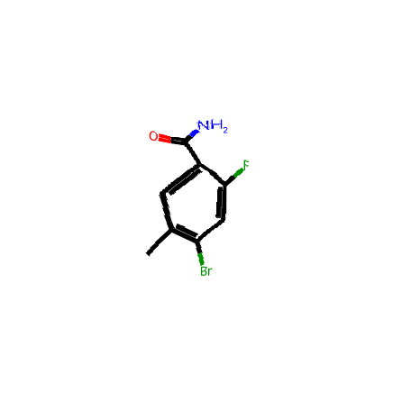 Cc1cc(C(N)=O)c(F)cc1Br